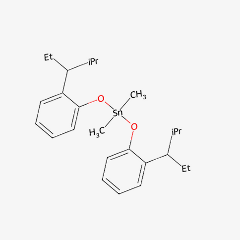 CCC(c1ccccc1[O][Sn]([CH3])([CH3])[O]c1ccccc1C(CC)C(C)C)C(C)C